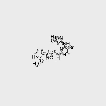 COC1NC=CC=C1c1cc(CNc2ncc(Br)c(Nc3cc(C)[nH]n3)n2)on1